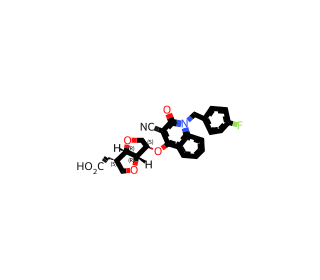 N#Cc1c(O[C@H]2CO[C@@H]3[C@@H](CC(=O)O)CO[C@H]32)c2ccccc2n(Cc2ccc(F)cc2)c1=O